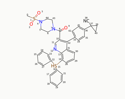 CS(=O)(=O)N1CCN(C(=O)c2cnc3c([SH](c4ccccc4)c4ccccc4)cccc3c2-c2ccc(C3(C#N)CC3)cc2)CC1